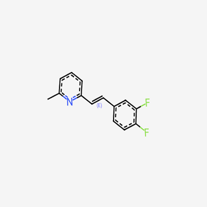 Cc1cccc(/C=C/c2ccc(F)c(F)c2)n1